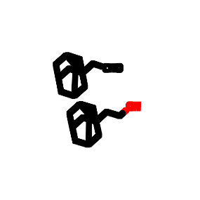 O=CCC12CC3CC(CC(C3)C1)C2.OCCC12CC3CC(CC(C3)C1)C2